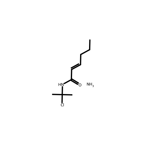 CCCC=CC(=O)NC(C)(C)Cl.N